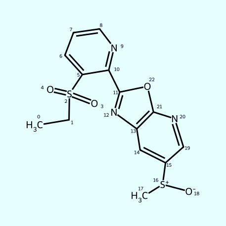 CCS(=O)(=O)c1cccnc1-c1nc2cc([S+](C)[O-])cnc2o1